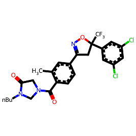 CCCCN1CN(C(=O)c2ccc(C3=NOC(c4cc(Cl)cc(Cl)c4)(C(F)(F)F)C3)cc2C)CC1=O